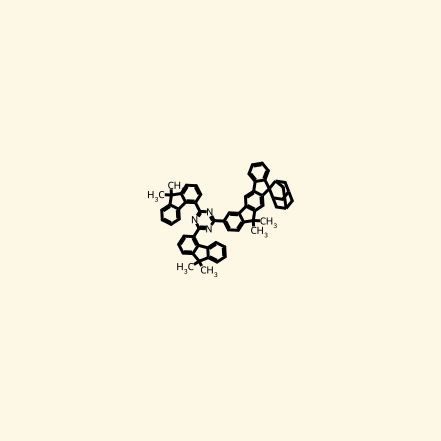 CC1(C)c2ccc(-c3nc(-c4cccc5c4-c4ccccc4C5(C)C)nc(-c4cccc5c4-c4ccccc4C5(C)C)n3)cc2-c2cc3c(cc21)C1(c2ccccc2-3)C2CC3CC(C2)CC1C3